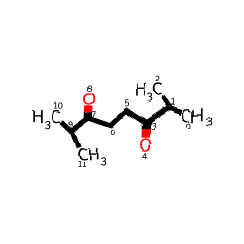 CC(C)C(=O)CCC(=O)C(C)C